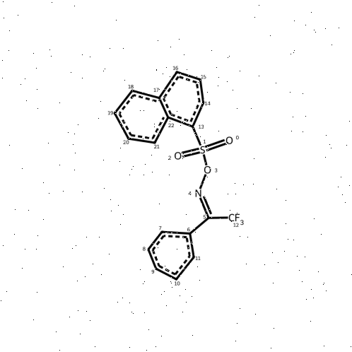 O=S(=O)(O/N=C(/c1ccccc1)C(F)(F)F)c1cccc2ccccc12